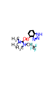 CN(C)C(OOc1cccc2[nH]nnc12)=[N+](C)C.F[B-](F)(F)F